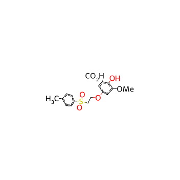 COc1cc(OCCS(=O)(=O)c2ccc(C)cc2)cc(C(=O)O)c1O